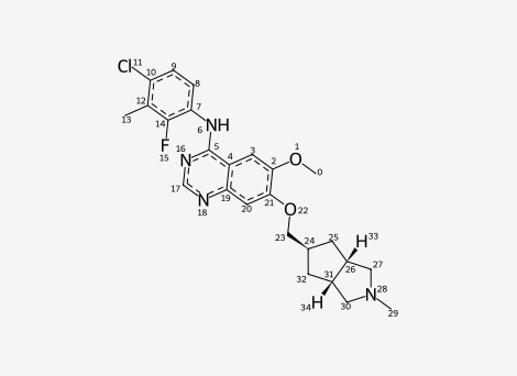 COc1cc2c(Nc3ccc(Cl)c(C)c3F)ncnc2cc1OC[C@H]1C[C@@H]2CN(C)C[C@@H]2C1